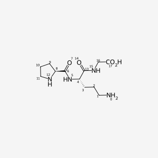 NCCC[C@H](NC(=O)[C@@H]1CCCN1)C(=O)NCC(=O)O